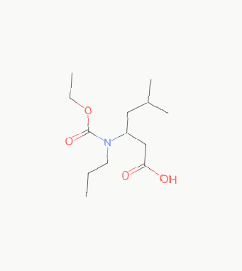 CCCN(C(=O)OCC)C(CC(=O)O)CC(C)C